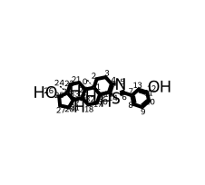 C[C@]12CCc3nc(-c4cccc(O)c4)sc3[C@@H]1CC[C@@H]1[C@@H]2CC[C@]2(C)[C@@H](O)CC[C@@H]12